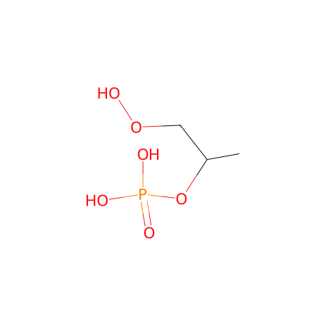 CC(COO)OP(=O)(O)O